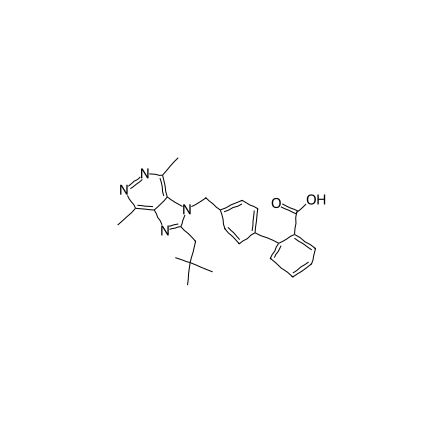 Cc1nnc(C)c2c1nc(CC(C)(C)C)n2Cc1ccc(-c2ccccc2C(=O)O)cc1